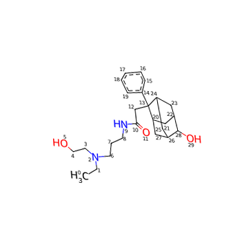 CCN(CCO)CCCNC(=O)CC1(c2ccccc2)C2CC3CC1CC(C2)C3O